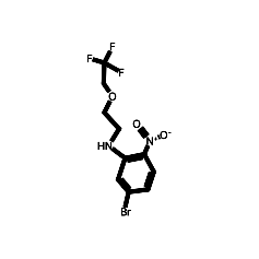 O=[N+]([O-])c1ccc(Br)cc1NCCOCC(F)(F)F